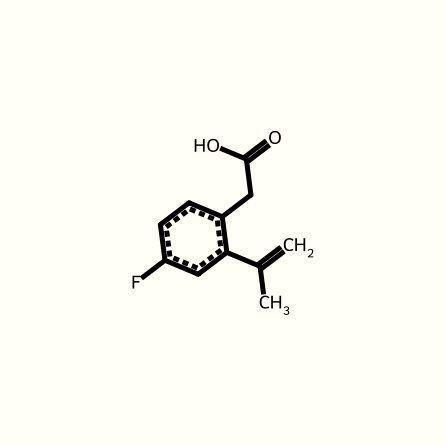 C=C(C)c1cc(F)ccc1CC(=O)O